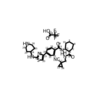 N#CC1(CNC(=O)[C@@H]2CCCC[C@@H]2NC(=O)c2ccc(-c3csc(NC4CCNCC4)n3)cc2)CC1.O=C(O)C(F)(F)F